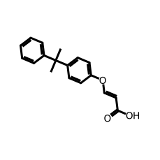 CC(C)(c1ccccc1)c1ccc(OC=CC(=O)O)cc1